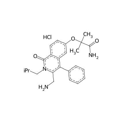 CC(C)Cn1c(CN)c(-c2ccccc2)c2cc(OC(C)(C)C(N)=O)ccc2c1=O.Cl